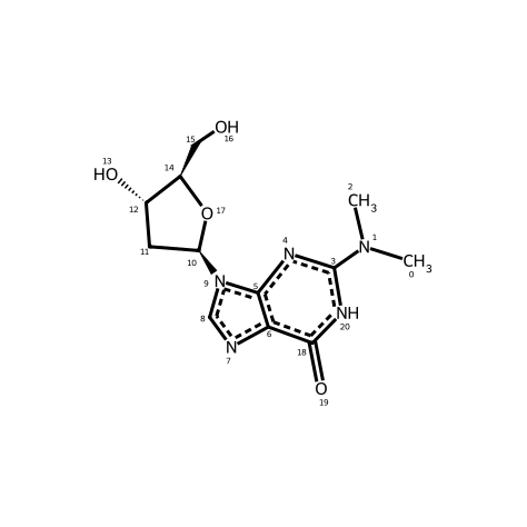 CN(C)c1nc2c(ncn2[C@H]2C[C@H](O)[C@@H](CO)O2)c(=O)[nH]1